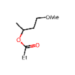 CCC(=O)OC(C)CCOC